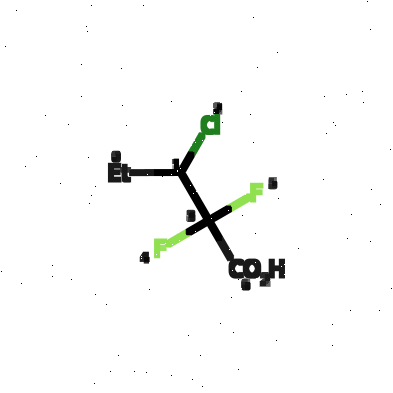 CCC(Cl)C(F)(F)C(=O)O